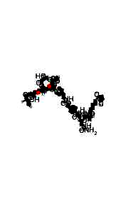 CC[C@H](O)[C@@H](C)[C@H]1O[C@@H]1C[C@@](C)(O)/C=C/C=C(\C)[C@H]1OC(=O)C[C@H](O)CC[C@@](C)(OC(C)=O)[C@@H](OC(=O)N2CCN(CCNC(=O)OCc3ccc(NC(=O)[C@H](CCCNC(N)=O)NC(=O)C(NC(=O)CCCCCN4C(=O)C=CC4=O)C(C)C)cc3)CC2)/C=C/[C@@H]1C